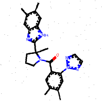 Cc1cc(C(=O)N2CCCC2(C)c2nc3cc(C)c(C)cc3[nH]2)c(-n2nccn2)cc1C